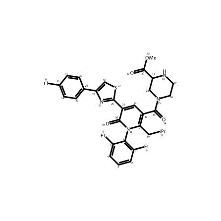 CCc1cccc(CC)c1-n1c(CC(C)C)c(C(=O)N2CCNC(C(=O)OC)C2)cc(-c2nc(-c3ccc(Cl)cc3)cs2)c1=O